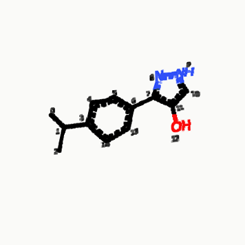 CC(C)c1ccc(-c2n[nH]cc2O)cc1